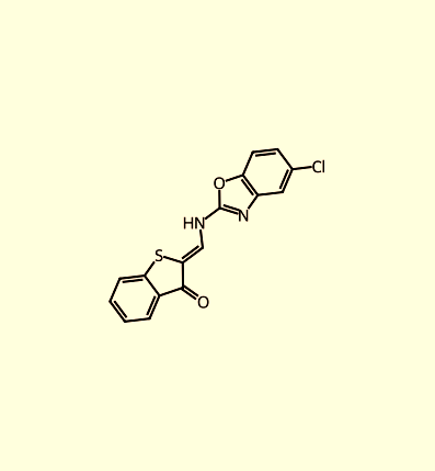 O=C1C(=CNc2nc3cc(Cl)ccc3o2)Sc2ccccc21